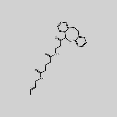 C/C=C/CNC(=O)CCCC(=O)NCCC(=O)C1Cc2ccccc2CCc2ccccc21